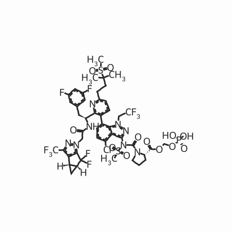 CC(C)(CCc1ccc(-c2ccc(Cl)c3c(N(C(=O)N4CCC[C@H]4C(=O)OCOP(=O)(O)O)S(C)(=O)=O)nn(CC(F)(F)F)c23)c([C@H](Cc2cc(F)cc(F)c2)NC(=O)Cn2nc(C(F)(F)F)c3c2C(F)(F)[C@@H]2C[C@H]32)n1)S(C)(=O)=O